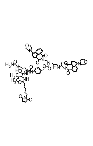 CC(C)C(NC(=O)CCCCCN1C(=O)C=CC1=O)C(=O)N[C@@H](CCCNC(N)=O)C(=O)Nc1ccc(COC(=O)N(CCCNC(=O)CN2C(=O)c3cccc4c(N5CCOCC5)ccc(c34)C2=O)CCN2C(=O)c3cccc4c(N5CCOCC5)ccc(c34)C2=O)cc1